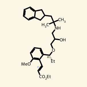 CCOC(=O)/C=C/c1c(OC)cccc1[C@@H](CC)OCC(O)CNC(C)(C)CC1Cc2ccccc2C1